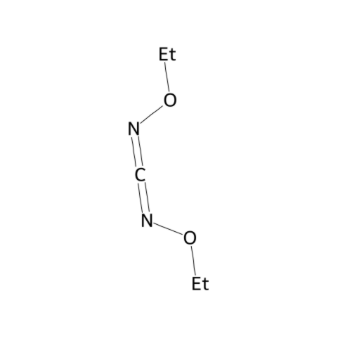 CCON=C=NOCC